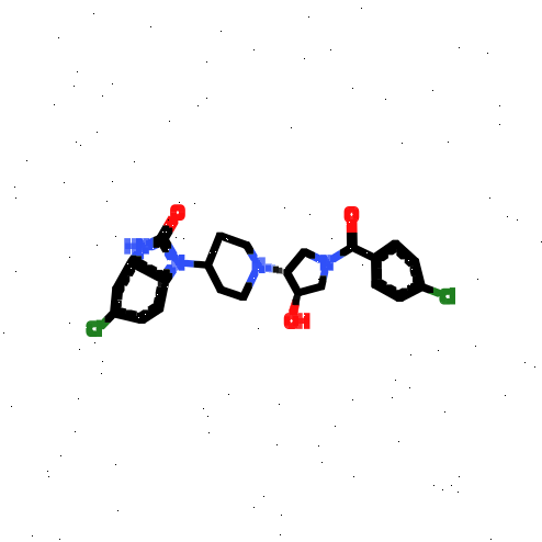 O=C(c1ccc(Cl)cc1)N1C[C@@H](O)[C@H](N2CCC(n3c(=O)[nH]c4cc(Cl)ccc43)CC2)C1